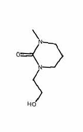 CN1CCCN(CCO)C1=O